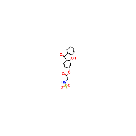 CS(=O)(=O)NCC(=O)Oc1ccc(C(=O)c2ccccc2)c(O)c1